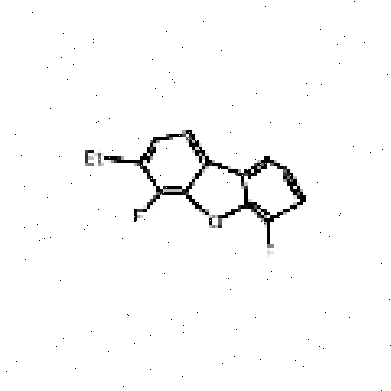 CCc1ccc2c(oc3c(F)cccc32)c1F